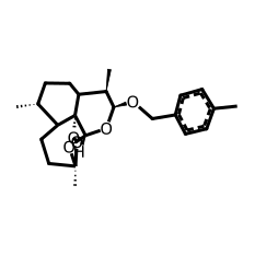 Cc1ccc(CO[C@H]2O[C@@H]3O[C@]4(C)CCC5[C@H](C)CCC([C@H]2C)[C@]53OO4)cc1